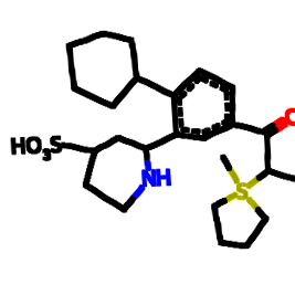 CC(C(=O)c1ccc(C2CCCCC2)c(C2CC(S(=O)(=O)O)CCN2)c1)S1(C)CCCC1